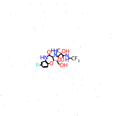 C[C@](O)(C(=O)NCC(F)(F)F)C(=O)N[C@H]1C(=O)Nc2cc(F)ccc2O[C@H]1CCO